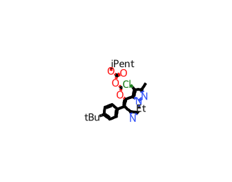 CCCC(C)OC(=O)OCO/C(=C(\c1ccc(C(C)(C)C)cc1)C1C=N1)c1c(Cl)c(C)nn1CC